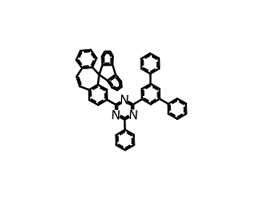 C1=Cc2ccc(-c3nc(-c4ccccc4)nc(-c4cc(-c5ccccc5)cc(-c5ccccc5)c4)n3)cc2C2(c3ccccc31)c1ccccc1-c1ccccc12